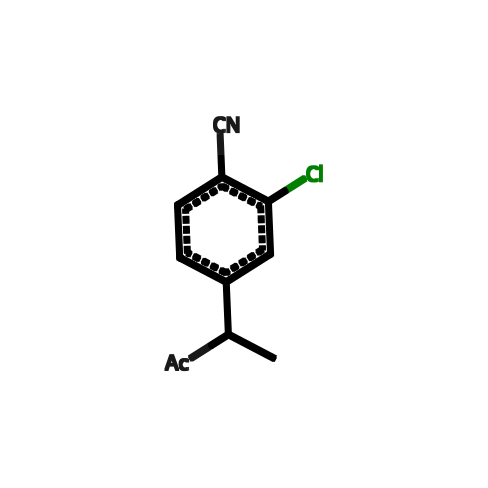 CC(=O)C(C)c1ccc(C#N)c(Cl)c1